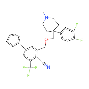 CN1CCC(COCc2cc(-c3ccccc3)cc(C(F)(F)F)c2C#N)(c2ccc(F)c(F)c2)CC1